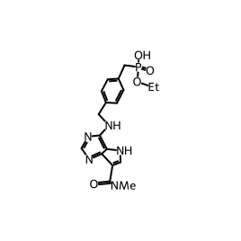 CCOP(=O)(O)Cc1ccc(CNc2ncnc3c(C(=O)NC)c[nH]c23)cc1